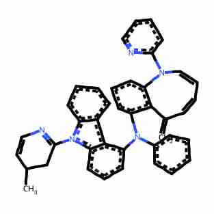 C=C1/C=C\C=C/N(c2ccccn2)c2cccc(N(c3ccccc3)c3cccc4c3c3ccccc3n4C3=NC=CC(C)C3)c21